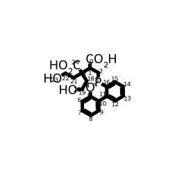 O=C(O)C(CP1Oc2ccccc2-c2ccccc21)C(CCO)(CCO)C(=O)O